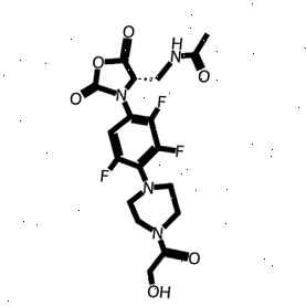 CC(=O)NC[C@H]1C(=O)OC(=O)N1c1cc(F)c(N2CCN(C(=O)CO)CC2)c(F)c1F